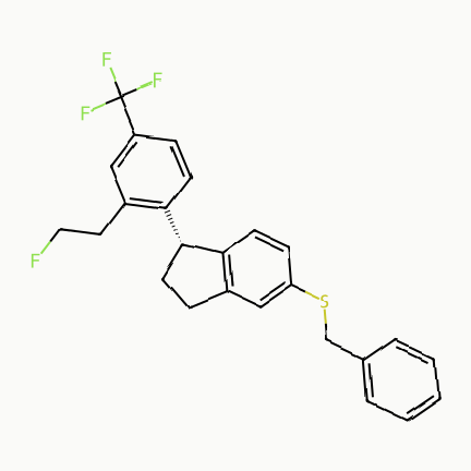 FCCc1cc(C(F)(F)F)ccc1[C@H]1CCc2cc(SCc3ccccc3)ccc21